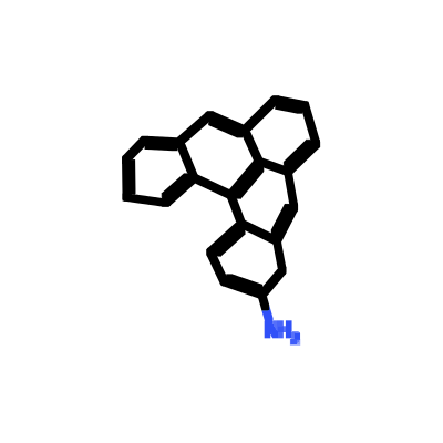 NC1=CC=c2c(cc3cccc4cc5ccccc5c2c34)C1